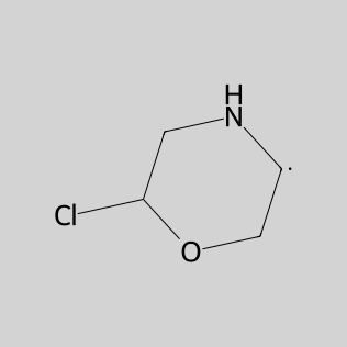 ClC1CN[CH]CO1